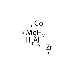 [AlH3].[Co].[MgH2].[Zr]